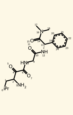 CC(C)CC(N)C(=O)C(=O)NCC(=O)N[C@H](C(=O)N(C)C)c1ccccc1